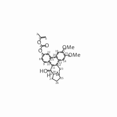 C=C(C)OC(=O)Oc1ccc2c3c(c4cc(OC)c(OC)cc4c2c1)CN1CCC[C@H]1[C@H]3O